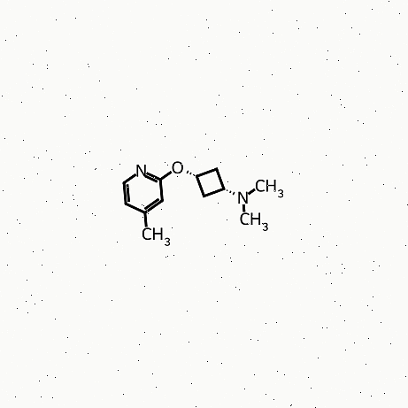 Cc1ccnc(O[C@H]2C[C@@H](N(C)C)C2)c1